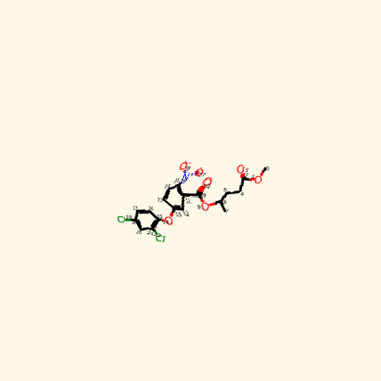 COC(=O)CCC(C)OC(=O)c1cc(Oc2ccc(Cl)cc2Cl)ccc1[N+](=O)[O-]